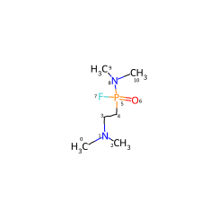 CN(C)CCP(=O)(F)N(C)C